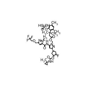 Cc1cc(C)c(C(C)(C)CC(=O)OCn2nc([C@H]3C[C@@H](F)[C@@H](OC(=O)NC4(C)CC4)C3)cc2NC(=O)c2cc(COCC(F)(F)F)nn2C)c(OP(=O)(O)O)c1